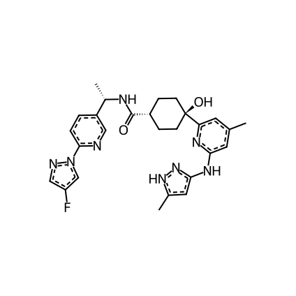 Cc1cc(Nc2cc(C)[nH]n2)nc([C@]2(O)CC[C@H](C(=O)N[C@@H](C)c3ccc(-n4cc(F)cn4)nc3)CC2)c1